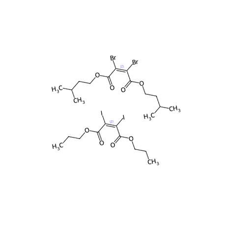 CC(C)CCOC(=O)/C(Br)=C(/Br)C(=O)OCCC(C)C.CCCOC(=O)/C(I)=C(/I)C(=O)OCCC